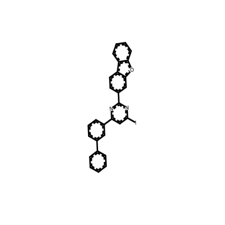 Ic1cc(-c2cccc(-c3ccccc3)c2)nc(-c2ccc3c(c2)oc2ccccc23)n1